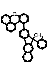 CC1(c2ccccc2)c2cc(-c3cccc4c3-c3cccc5cccc(c35)O4)ccc2-c2cc3ccccc3cc21